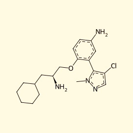 Cn1ncc(Cl)c1-c1cc(N)ccc1OC[C@@H](N)CC1CCCCC1